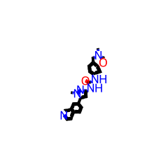 CN1COc2cc(NC(=O)Nc3cc(-c4ccc5ccncc5c4)n(C)n3)ccc2C1